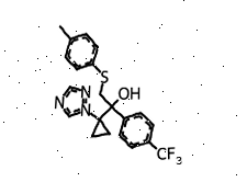 Cc1ccc(SCC(O)(c2ccc(C(F)(F)F)cc2)C2(n3cncn3)CC2)cc1